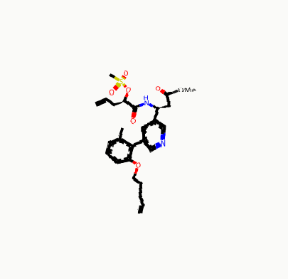 C=CCCCOc1cccc(C)c1-c1cncc([C@H](CC(=O)OC)NC(=O)[C@@H](CC=C)OS(C)(=O)=O)c1